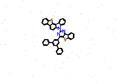 c1ccc(-c2cc(-c3ccccc3)cc(-c3nc(-n4c5ccccc5c5c6sc7ccccc7c6ccc54)nc4c3sc3ccccc34)c2)cc1